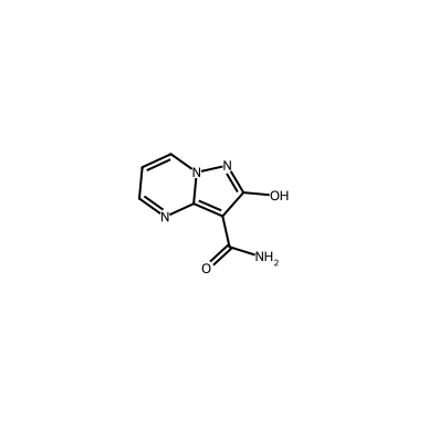 NC(=O)c1c(O)nn2cccnc12